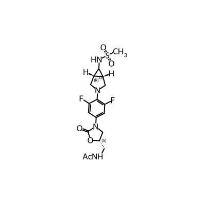 CC(=O)NC[C@H]1CN(c2cc(F)c(N3C[C@@H]4C(NS(C)(=O)=O)[C@@H]4C3)c(F)c2)C(=O)O1